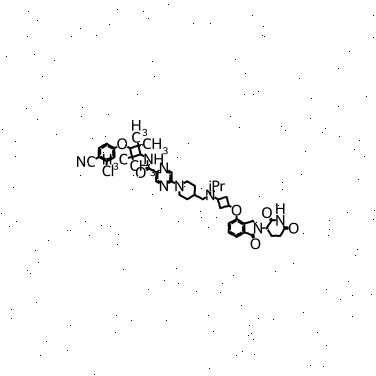 CC(C)N(CC1CCN(c2cnc(C(=O)NC3C(C)(C)C(Oc4ccc(C#N)c(Cl)c4)C3(C)C)cn2)CC1)C1CC(Oc2cccc3c2CN([C@@H]2CCC(=O)NC2=O)C3=O)C1